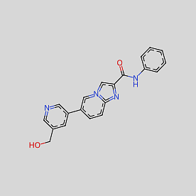 O=C(Nc1ccccc1)c1cn2cc(-c3cncc(CO)c3)ccc2n1